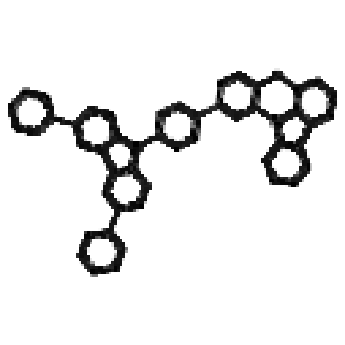 c1ccc(-c2ccc3c(c2)c2cc(-c4ccccc4)ccc2n3-c2ccc(-c3ccc4c(c3)-n3c5ccccc5c5cccc(c53)O4)cc2)cc1